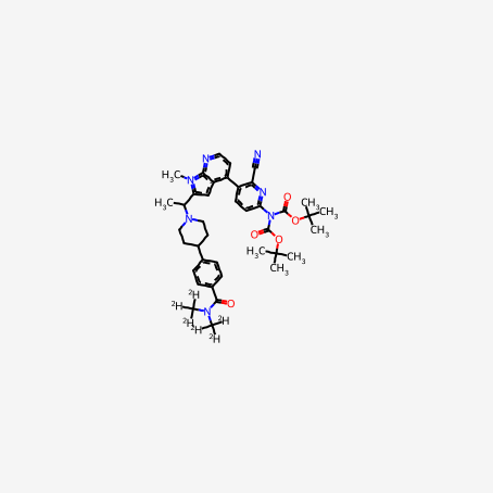 [2H]C([2H])([2H])N(C(=O)c1ccc(C2CCN(C(C)c3cc4c(-c5ccc(N(C(=O)OC(C)(C)C)C(=O)OC(C)(C)C)nc5C#N)ccnc4n3C)CC2)cc1)C([2H])([2H])[2H]